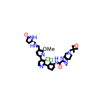 COc1nc(-c2ccnc(-c3cccc(NC(=O)c4nc5c(n4C)CCN(CC4(C)COC4)C5)c3Cl)c2Cl)ccc1CNC[C@H]1CCC(=O)N1